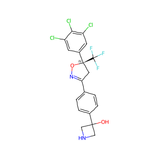 OC1(c2ccc(C3=NO[C@@](c4cc(Cl)c(Cl)c(Cl)c4)(C(F)(F)F)C3)cc2)CNC1